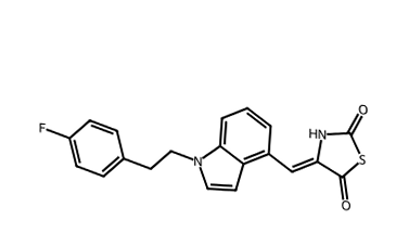 O=C1NC(=Cc2cccc3c2ccn3CCc2ccc(F)cc2)C(=O)S1